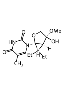 CC[PH]1(CC)[C@H]2[C@]1(n1cc(C)c(=O)[nH]c1=O)OC[C@]2(O)OC